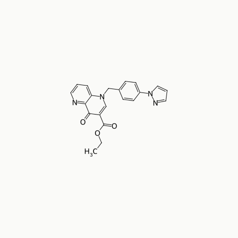 CCOC(=O)c1cn(Cc2ccc(-n3cccn3)cc2)c2cccnc2c1=O